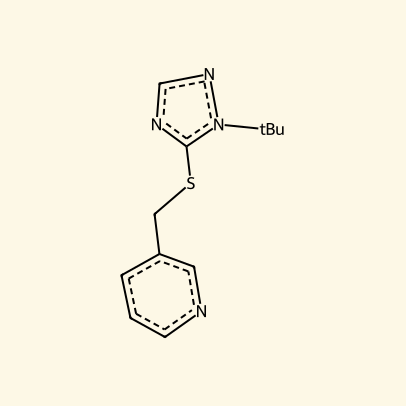 CC(C)(C)n1ncnc1SCc1cccnc1